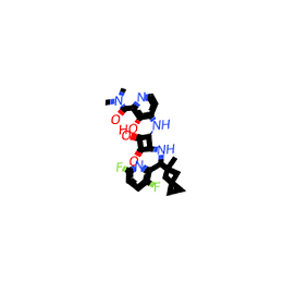 CN(C)C(=O)c1nccc(N[C@H]2C(=O)C(=O)C2NC(c2nc(F)ccc2F)C2(C)CC3(CC3)C2)c1O